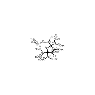 CCCCCCCCCCN(CCCCCCCCCC)C(OC(C(CC)CCCC)(N(CCCCCCCCCC)CCCCCCCCCC)N(CCCCCCCCCC)CCCCCCCCCC)(C(CC)CCCC)N(CCCCCCCCCC)CCCCCCCCCC.[Cl-].[Cl-].[Cl-].[Cl-].[Ti+4]